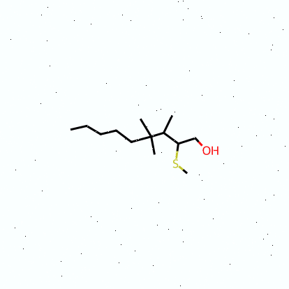 CCCCCC(C)(C)C(C)C(CO)SC